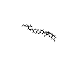 COc1ccc(C2CCN(CC3CCC(NC(=O)C4=Cc5cc(F)ccc5OC4)C3)CC2)cc1